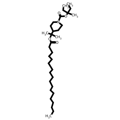 CCCCCCCCCCCCCCCCCC(=O)OC(C)(C)C1CCN(C(=O)OC(C)(CC)CC)CC1